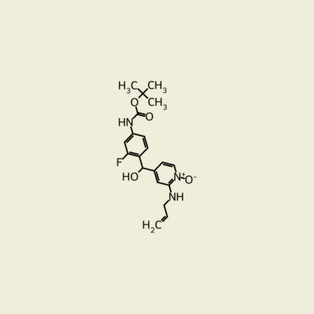 C=CCNc1cc(C(O)c2ccc(NC(=O)OC(C)(C)C)cc2F)cc[n+]1[O-]